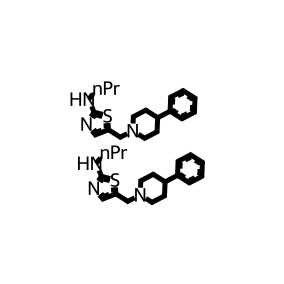 CCCNc1ncc(CN2CCC(c3ccccc3)CC2)s1.CCCNc1ncc(CN2CCC(c3ccccc3)CC2)s1